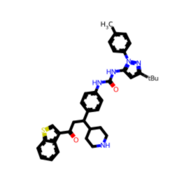 Cc1ccc(-n2nc(C(C)(C)C)cc2NC(=O)Nc2ccc(C(CC(=O)c3csc4ccccc34)C3CCNCC3)cc2)cc1